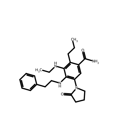 CCCc1c(C(N)=O)cc(N2CCCC2=O)c(NCCc2ccccc2)c1NCC